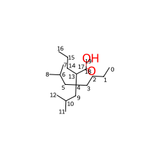 CCCCC(CC(C)C)(CC(C)C)C(CCC)C(=O)O